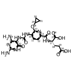 Nc1nc(N)c(NC(=O)Nc2ccc(C(=O)N[C@@H](CCC(=O)O)C(=O)O)nc2OC2CC2)c(=O)[nH]1